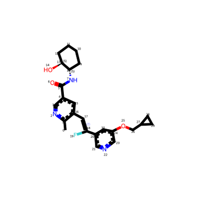 Cc1ncc(C(=O)N[C@H]2CCCC[C@@H]2O)cc1/C=C(\F)c1cncc(OCC2CC2)c1